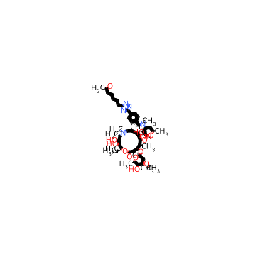 CC[C@H]1OC(=O)[C@H](C)[C@@H](O[C@H]2C[C@@](C)(OC)[C@@H](O)[C@H](C)O2)[C@H](C)[C@@H](O[C@@H]2O[C@H](C)C[C@H](N(C)Cc3ccc(C4=NC(CCCCCC(C)=O)N=N4)cc3)[C@H]2O)[C@](C)(O)C[C@@H](C)CN(C)[C@H](C)[C@@H](O)[C@]1(C)O